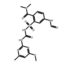 COc1cc(C)nc(NC(=O)NS(=O)(=O)c2cc(NC=O)ccc2C(=O)N(C)C)n1